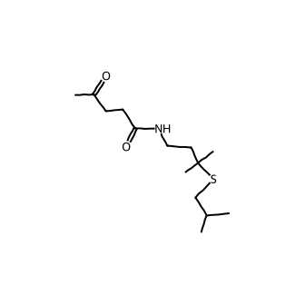 CC(=O)CCC(=O)NCCC(C)(C)SCC(C)C